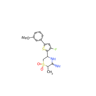 COc1cccc(-c2cc(F)c(C3CS(=O)(=O)C(C)C(=N)N3)s2)c1